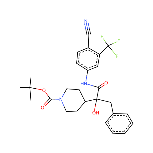 CC(C)(C)OC(=O)N1CCC(C(O)(Cc2ccccc2)C(=O)Nc2ccc(C#N)c(C(F)(F)F)c2)CC1